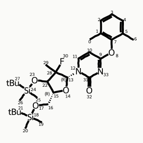 Cc1cccc(C)c1Oc1ccn([C@@H]2O[C@H](CO[Si](C)(C)C(C)(C)C)C(O[Si](C)(C)C(C)(C)C)C2(C)F)c(=O)n1